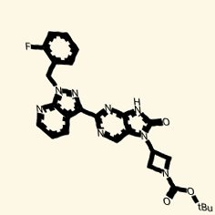 CC(C)(C)OC(=O)N1CC(n2c(=O)[nH]c3nc(-c4nn(Cc5ccccc5F)c5ncccc45)ncc32)C1